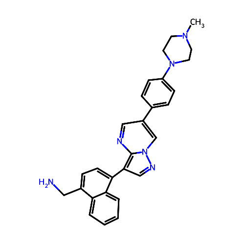 CN1CCN(c2ccc(-c3cnc4c(-c5ccc(CN)c6ccccc56)cnn4c3)cc2)CC1